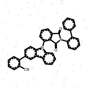 N#Cc1ccccc1-c1ccc2c(c1)c1ccccc1n2-c1cccc2c1C(=O)N(c1ccccc1-c1ccccc1)C2=O